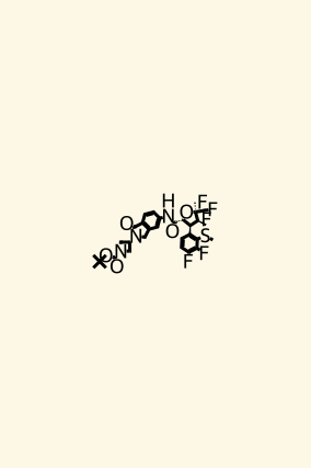 CSc1c([C@H]2[C@H](C(=O)Nc3ccc4c(c3)CN(C3CN(C(=O)OC(C)(C)C)C3)C4=O)O[C@@](C)(C(F)(F)F)[C@H]2C)ccc(F)c1F